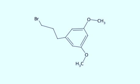 COc1cc(CCCBr)cc(OC)c1